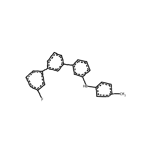 Cc1ccc(Bc2cccc(-c3cccc(-c4cccc(F)c4)c3)c2)cc1